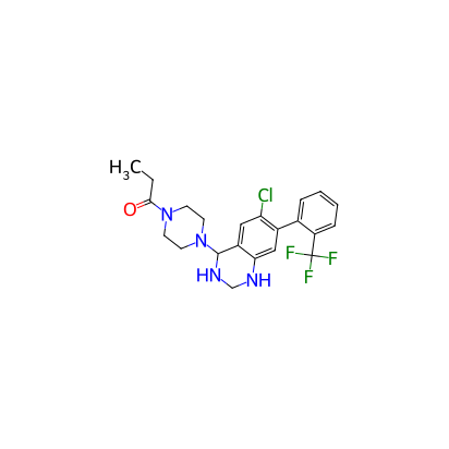 CCC(=O)N1CCN(C2NCNc3cc(-c4ccccc4C(F)(F)F)c(Cl)cc32)CC1